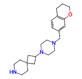 c1cc2c(cc1CN1CCN(C3CC4(CCNCC4)C3)CC1)OCCC2